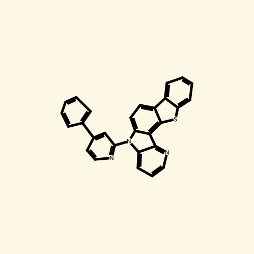 c1ccc(-c2ccnc(-n3c4cccnc4c4c5sc6ccccc6c5ccc43)c2)cc1